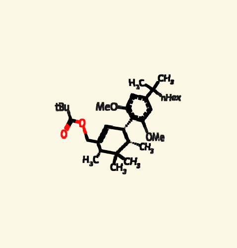 CCCCCCC(C)(C)c1cc(OC)c([C@H]2C=C(COC(=O)C(C)(C)C)[C@@H](C)C(C)(C)[C@H]2C)c(OC)c1